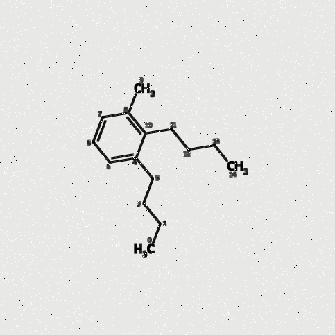 CCCCc1cccc(C)c1CCCC